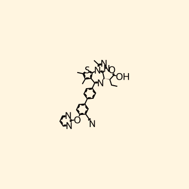 CCC(C(=O)O)[C@@H]1N=C(c2ccc(-c3ccc(Oc4ncccn4)c(C#N)c3)cc2)c2c(sc(C)c2C)-n2c(C)nnc21